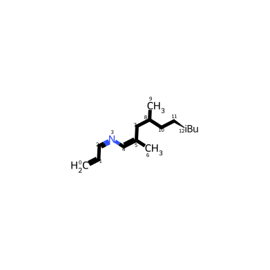 C=C/C=N\C=C(\C)CC(C)CC[C@H](C)CC